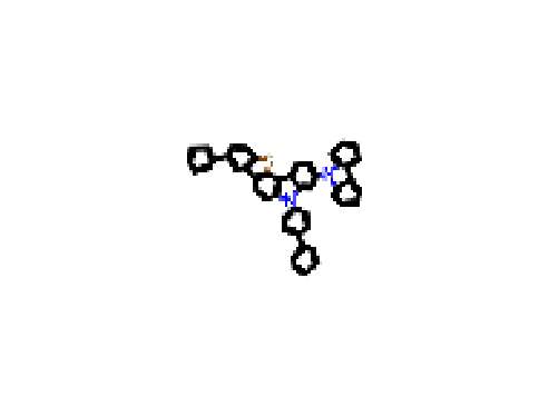 c1ccc(-c2ccc(-n3c4cc(-n5c6ccccc6c6ccccc65)ccc4c4c5sc6ccc(-c7ccccc7)cc6c5ccc43)cc2)cc1